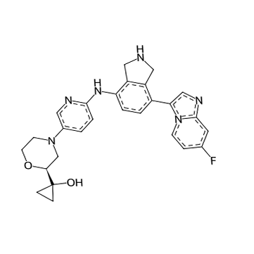 OC1([C@@H]2CN(c3ccc(Nc4ccc(-c5cnc6cc(F)ccn56)c5c4CNC5)nc3)CCO2)CC1